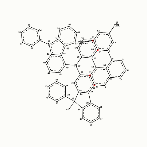 CC(C)(C)c1cc(-c2cccc3cccc(-c4ccccc4N(c4ccc5c(c4)C(C)(c4ccccc4)c4ccccc4-5)c4cccc5c4c4ccccc4n5-c4ccccc4)c23)cc(C(C)(C)C)c1